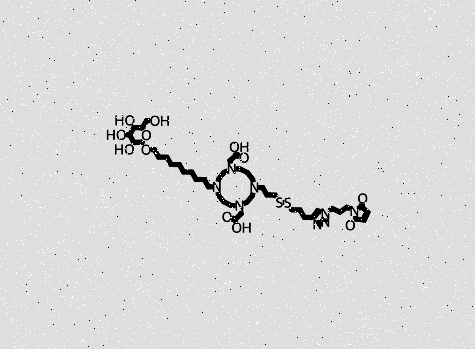 O=C(O)CN1CCCN(CCCSSCCCc2cn(CCCN3C(=O)C=CC3=O)nn2)CCN(CC(=O)O)CCCN(CCCCCCCCCCO[C@@H]2OC(CO)[C@@H](O)C(O)C2O)CC1